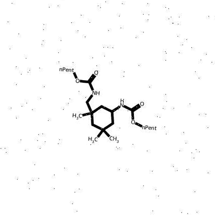 CCCCCOC(=O)NCC1(C)CC(NC(=O)OCCCCC)CC(C)(C)C1